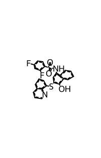 O=S(=O)(Nc1cc(Sc2cccc3cccnc23)c(O)c2ccccc12)c1ccc(F)cc1F